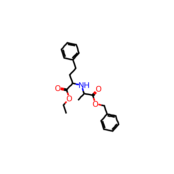 CCOC(=O)C(CCc1ccccc1)NC(C)C(=O)OCc1ccccc1